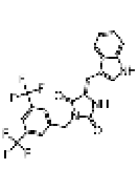 O=C1NC(=Cc2c[nH]c3ccccc23)C(=O)N1Cc1cc(C(F)(F)F)cc(C(F)(F)F)c1